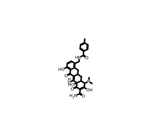 Cc1ccc(C(=O)NCc2ccc(O)c3c2CC2CC4C(N(C)C)C(O)=C(C(N)=O)C(=O)C4(O)C(O)=C2C3=O)cc1